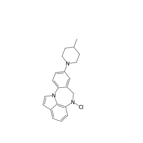 CC1CCN(c2ccc3c(c2)CN(Cl)c2cccc4ccn-3c24)CC1